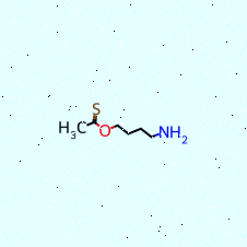 CC(=S)OCCCCN